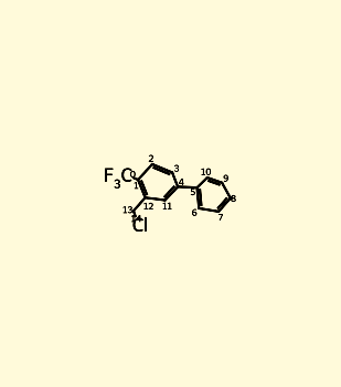 FC(F)(F)c1ccc(-c2ccccc2)cc1CCl